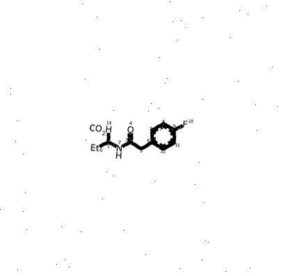 CCC(NC(=O)Cc1ccc(F)cc1)C(=O)O